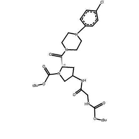 CC(C)(C)OC(=O)NCC(=O)NC1C[C@@H](C(=O)N2CCN(c3ccc(Cl)cc3)CC2)N(C(=O)OC(C)(C)C)C1